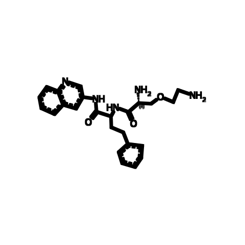 NCCOC[C@@H](N)C(=O)NC(CCc1ccccc1)C(=O)Nc1cnc2ccccc2c1